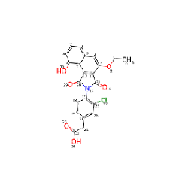 CCOc1cc2cccc(O)c2c2c1C(=O)N(c1ccc(CC(=O)O)cc1Cl)C2=O